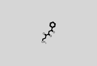 CCCC(=O)C(=O)CC(=O)c1ccccc1